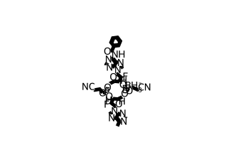 [BH3-][P+]1(OCCC#N)OC[C@H]2O[C@@H](n3cnc4c(C)ncnc43)[C@H](F)[C@@H]2OP(OCCC#N)OCC2O[C@@H](n3cnc4c(NC(=O)c5ccccc5)ncnc43)[C@H](F)[C@@H]2O1